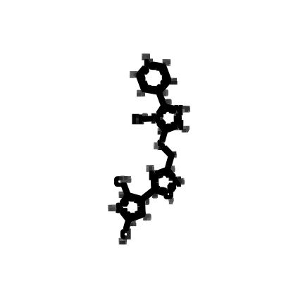 CCn1c(SCc2noc(-c3cc(Cl)sc3Cl)n2)nnc1-c1ccncc1